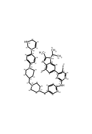 Cc1nc2c(F)cc(-c3nc(Nc4ccc(CN5CCN(CC6CCN(c7ccc(N8C=CCNC8)cc7)CC6)CC5)cn4)ncc3F)cc2n1C(C)C